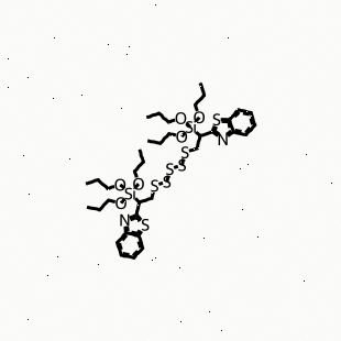 CCCO[Si](OCCC)(OCCC)C(CSSSSSCC(c1nc2ccccc2s1)[Si](OCCC)(OCCC)OCCC)c1nc2ccccc2s1